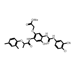 COC(=O)COc1cc(NC(=O)Nc2ccc(Cl)c(C#N)c2)c(O)cc1NC(=O)C(C)Oc1ccc(C)cc1C